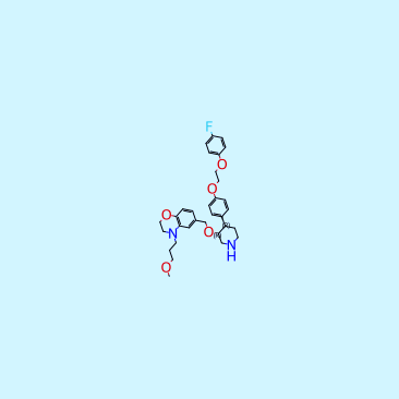 COCCCN1CCOc2ccc(CO[C@H]3CNCC[C@@H]3c3ccc(OCCOc4ccc(F)cc4)cc3)cc21